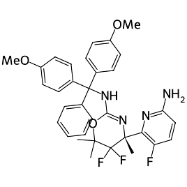 COc1ccc(C(NC2=N[C@](C)(c3nc(N)ccc3F)C(F)(F)C(C)(C)O2)(c2ccccc2)c2ccc(OC)cc2)cc1